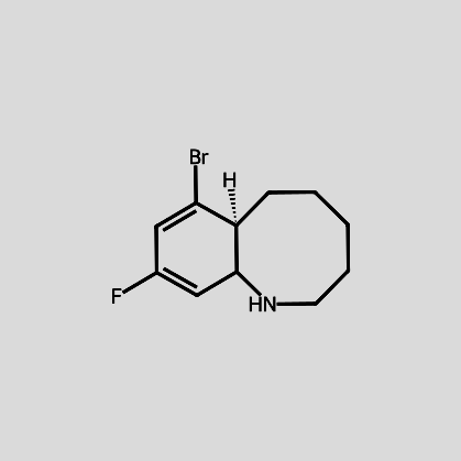 FC1=CC2NCCCCC[C@@H]2C(Br)=C1